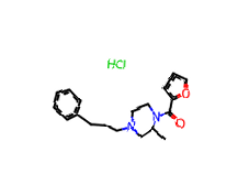 CC1CN(CCCc2ccccc2)CCN1C(=O)c1ccco1.Cl